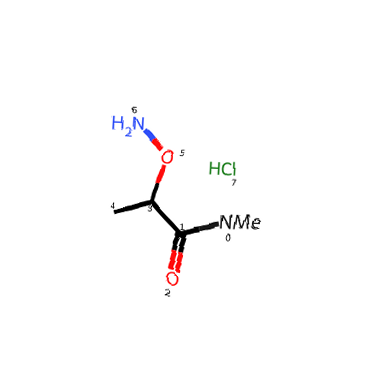 CNC(=O)C(C)ON.Cl